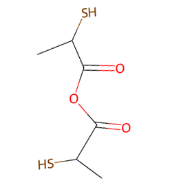 CC(S)C(=O)OC(=O)C(C)S